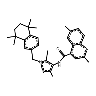 Cc1ccc2nc(C)cc(C(=O)Nc3c(C)nn(Cc4ccc5c(c4)C(C)(C)CCC5(C)C)c3C)c2c1